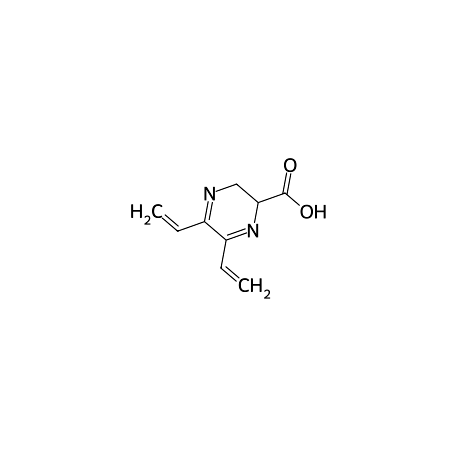 C=CC1=NCC(C(=O)O)N=C1C=C